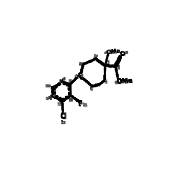 COC(=O)C1(OC)CCN(c2ncnc(Cl)c2F)CC1